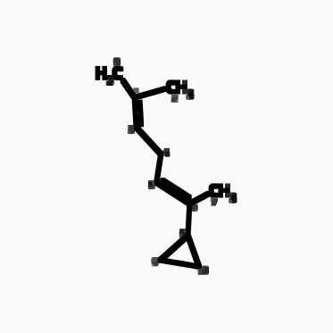 CC(C)=CCC=C(C)C1CC1